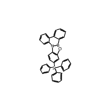 c1ccc([Si](c2ccccc2)(c2ccccc2)c2ccc3c(c2)OB2c4ccccc4-c4ccccc4N23)cc1